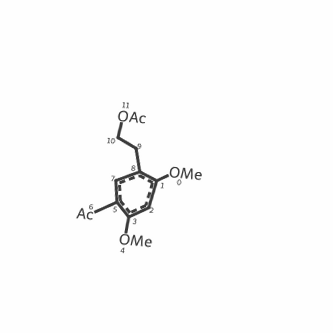 COc1cc(OC)c(C(C)=O)cc1CCOC(C)=O